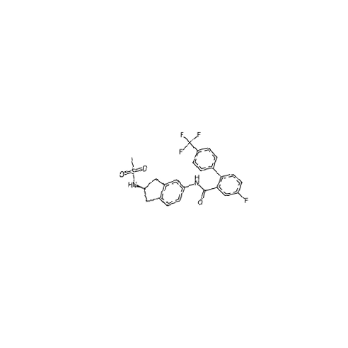 CS(=O)(=O)N[C@@H]1Cc2ccc(NC(=O)c3cc(F)ccc3-c3ccc(C(F)(F)F)cc3)cc2C1